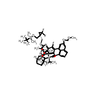 COCOc1cc(-c2c(F)cc3c(N4C[C@H]5CC[C@@](C)(C4)N5C(=O)OC(C)(C)C)nc(OC[C@]4(CO[Si](C)(C)C(C)(C)C)CC4(F)F)nc3c2F)c2c(C#C[Si](C(C)C)(C(C)C)C(C)C)cccc2c1